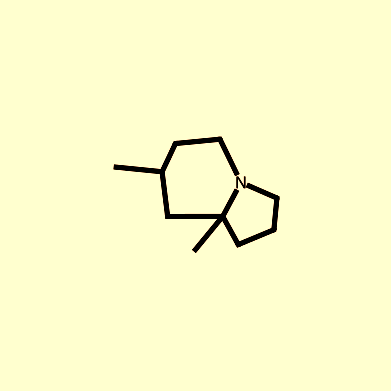 CC1CCN2CCCC2(C)C1